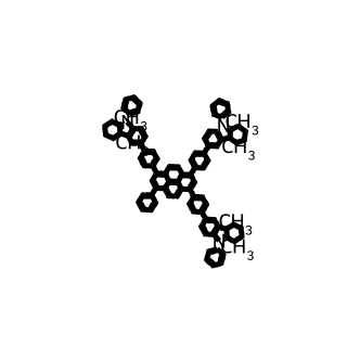 CC12CCCCC1(C)N(c1ccccc1)c1ccc(-c3ccc(-c4cc(-c5ccccc5)c5ccc6c(-c7ccc(-c8ccc9c(c8)C8(C)CCCCC8(C)N9c8ccccc8)cc7)cc(-c7ccc(-c8ccc9c(c8)C8(C)CCCCC8(C)N9c8ccccc8)cc7)c7ccc4c5c67)cc3)cc12